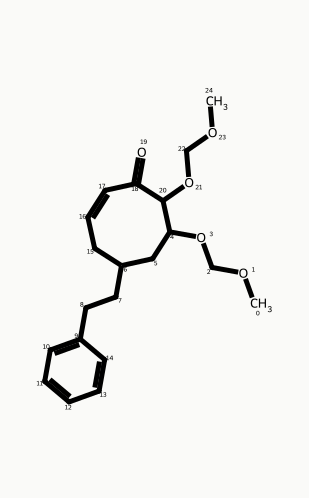 COCOC1CC(CCc2ccccc2)C/C=C\C(=O)C1OCOC